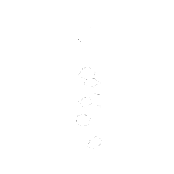 Cc1cc(-n2ncc(C(=O)c3cc4cc(OC5CCN(CCO)CC5)c(Br)cc4[nH]3)c2N)ccc1Oc1ccccc1F